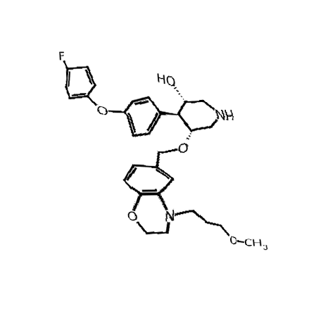 COCCCN1CCOc2ccc(CO[C@H]3CNC[C@@H](O)[C@@H]3c3ccc(Oc4ccc(F)cc4)cc3)cc21